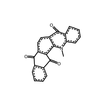 Cn1c2ccccc2c(=O)c2ccc3c(c21)C(=O)c1ccccc1C3=O